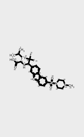 CC(C)C[C@H](NC(c1ccc2c(c1)oc1ccc(S(=O)(=O)N3CCN(C)CC3)cc12)C(F)(F)F)C(=O)O